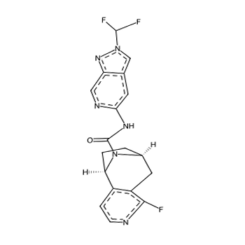 O=C(Nc1cc2cn(C(F)F)nc2cn1)N1[C@H]2CC[C@@H]1c1ccnc(F)c1C2